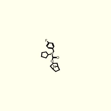 CN1C2CCC1CC(OC(=O)N(Cc1ccc(F)cc1)C1CCCC1)C2